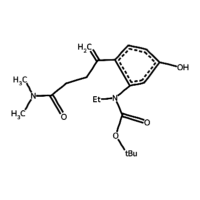 C=C(CCC(=O)N(C)C)c1ccc(O)cc1N(CC)C(=O)OC(C)(C)C